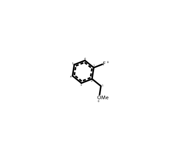 CO[CH]c1ccccc1F